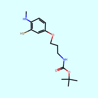 CNc1ccc(OCCCNC(=O)OC(C)(C)C)cc1S